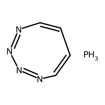 C1=CN=NN=NC=C1.P